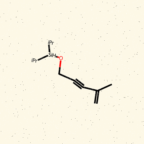 C=C(C)C#CCO[SiH](C(C)C)C(C)C